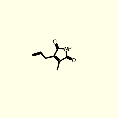 C=CCC1=C(C)C(=O)NC1=O